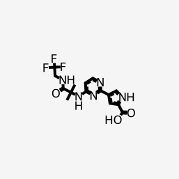 CC(C)(Nc1ccnc(-c2c[nH]c(C(=O)O)c2)n1)C(=O)NCC(F)(F)F